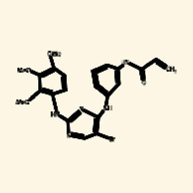 C=CC(=O)NC1=CC(Nc2nc(Nc3ccc(OC)c(OC)c3OC)ncc2Br)=C=C=C1